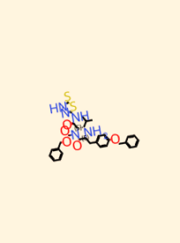 CC(C)C[C@@H](C(=O)Nc1n[nH]c(=S)s1)N(C(=O)OCc1ccccc1)C(=O)[C@@H](N)Cc1ccc(OCc2ccccc2)cc1